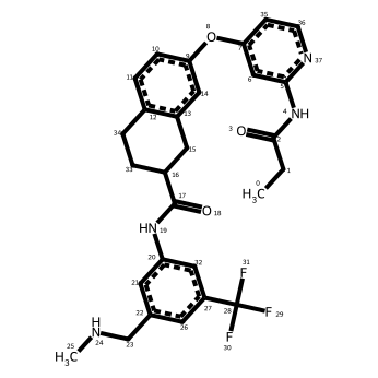 CCC(=O)Nc1cc(Oc2ccc3c(c2)CC(C(=O)Nc2cc(CNC)cc(C(F)(F)F)c2)CC3)ccn1